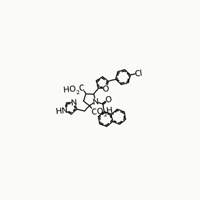 O=C(O)C1CC(Cc2c[nH]cn2)(C(=O)O)N(C(=O)c2cccc3ccccc23)C1c1ccc(-c2ccc(Cl)cc2)o1